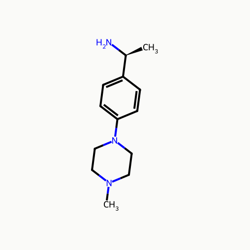 C[C@H](N)c1ccc(N2CCN(C)CC2)cc1